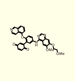 COCCOc1cc2ncnc(Nc3ccc(Oc4cccc5cnccc45)c(C4=CC(=O)C=CC4=O)c3)c2cc1OC